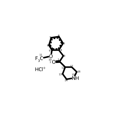 Cl.O=C(Cc1ccccc1OC(F)(F)F)C1CCNCC1